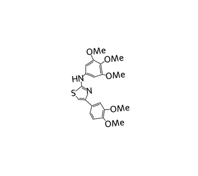 COc1ccc(-c2csc(Nc3cc(OC)c(OC)c(OC)c3)n2)cc1OC